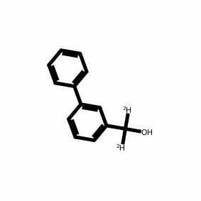 [2H]C([2H])(O)c1cccc(-c2ccccc2)c1